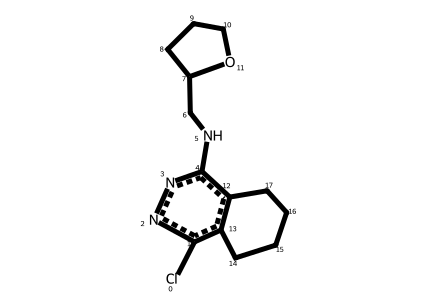 Clc1nnc(NCC2CCCO2)c2c1CCCC2